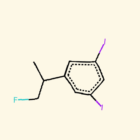 C[C](CF)c1cc(I)cc(I)c1